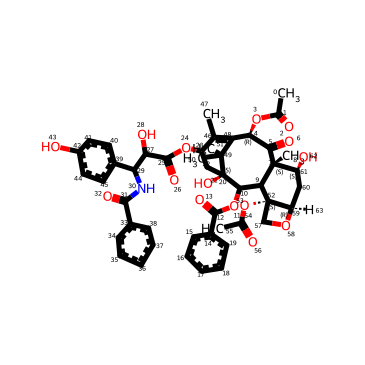 CC(=O)O[C@H]1C(=O)[C@@]2(C)C(C(OC(=O)c3ccccc3)[C@]3(O)CC(OC(=O)C(O)C(NC(=O)c4ccccc4)c4ccc(O)cc4)C(C)=C1C3(C)C)[C@]1(OC(C)=O)CO[C@@H]1C[C@@H]2O